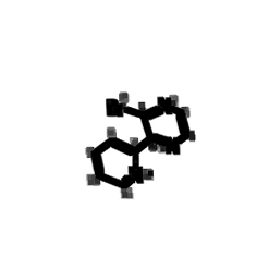 Brc1nccnc1-c1ccccn1